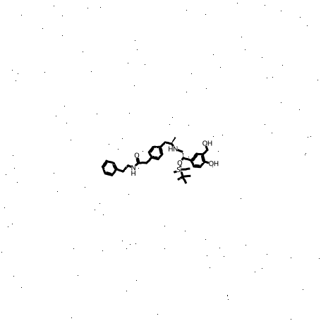 C[C@H](Cc1ccc(CC(=O)NCCc2ccccc2)cc1)NC[C@@H](O[Si](C)(C)C(C)(C)C)c1ccc(O)c(CO)c1